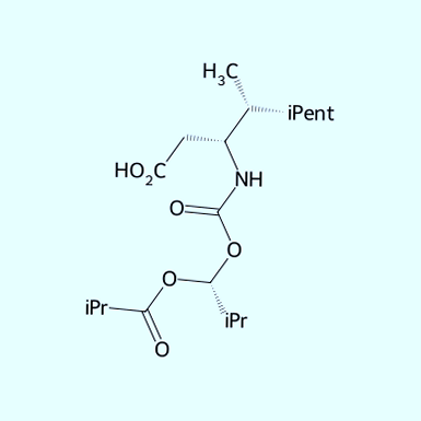 CCC[C@@H](C)[C@@H](C)[C@@H](CC(=O)O)NC(=O)O[C@@H](OC(=O)C(C)C)C(C)C